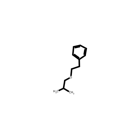 C[C](C)COCCc1ccccc1